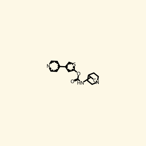 O=C(NC1CN2CCC1CC2)Oc1cc(-c2ccncc2)cs1